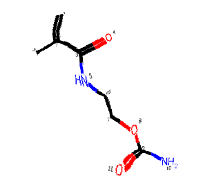 C=C(C)C(=O)NCCOC(N)=O